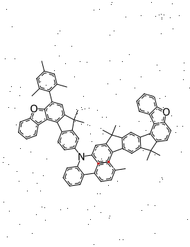 Cc1ccc(-c2ccccc2N(c2ccc3c(c2)C(C)(C)c2cc4c(cc2-3)C(C)(C)c2ccc3oc5ccccc5c3c2-4)c2ccc3c(c2)C(C)(C)c2cc(-c4c(C)cc(C)cc4C)c4oc5ccccc5c4c2-3)cc1